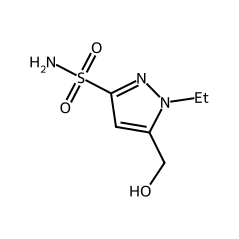 CCn1nc(S(N)(=O)=O)cc1CO